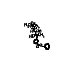 CC(C1CCN(C(=O)OCc2ccccc2)C1)C(O)C(O)NC(=O)OC(C)(C)C